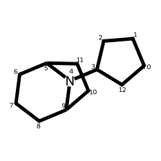 [CH]1CCC(N2C3CCCC2CC3)C1